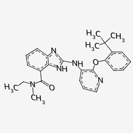 CCN(C)C(=O)c1cccc2nc(Nc3cccnc3Oc3ccccc3C(C)(C)C)[nH]c12